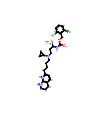 O=C(NC(CCN(CCCCc1ccc2c(n1)NCCC2)C1CC1)C(=O)O)OCc1c(F)cccc1F